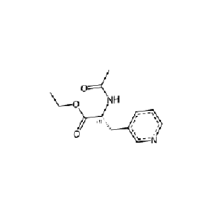 CCOC(=O)[C@@H](Cc1cccnc1)NC(C)=O